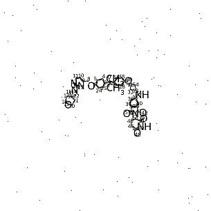 CC(C)(c1ccc(OCc2ccnc(N3CC4(CCOCC4)C3)n2)cc1)c1ccc(O[C@H]2C[C@@H](Nc3ccc4c(c3)C(=O)N(C3CCC(=O)NC3=O)C4=O)C2)cc1